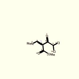 CN/C=C(\C(=O)OC)C(=O)C(Cl)Cl